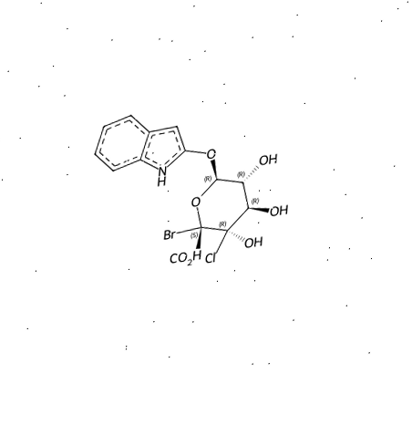 O=C(O)[C@@]1(Br)O[C@@H](Oc2cc3ccccc3[nH]2)[C@H](O)[C@@H](O)[C@@]1(O)Cl